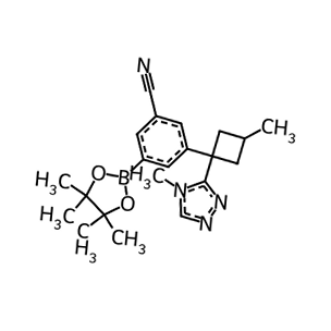 CC1CC(c2cc(C#N)cc(B3OC(C)(C)C(C)(C)O3)c2)(c2nncn2C)C1